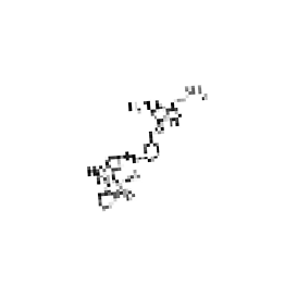 N#Cc1c(-c2cc(N=Nc3cccc(COc4nc(N)nc5c4ncn5CCN)c3)ccc2O)[n+]([O-])c2ccccc2[n+]1[O-]